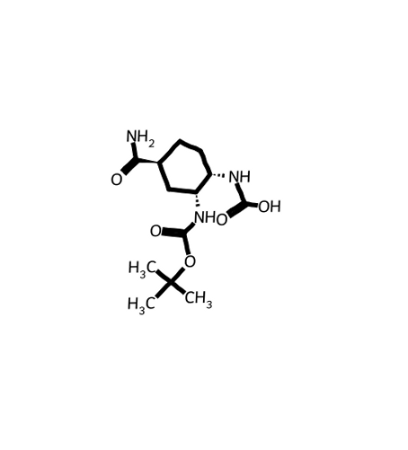 CC(C)(C)OC(=O)N[C@@H]1C[C@@H](C(N)=O)CC[C@@H]1NC(=O)O